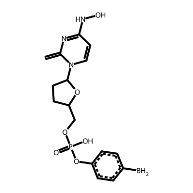 Bc1ccc(OP(=O)(O)OCC2CCC(N3C=CC(NO)=NC3=C)O2)cc1